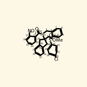 COC(=O)C1(N(Cc2ccccc2Sc2ccc(Cl)cc2)C(=O)c2ccccc2[N+](=O)[O-])Cc2ccccc2C1